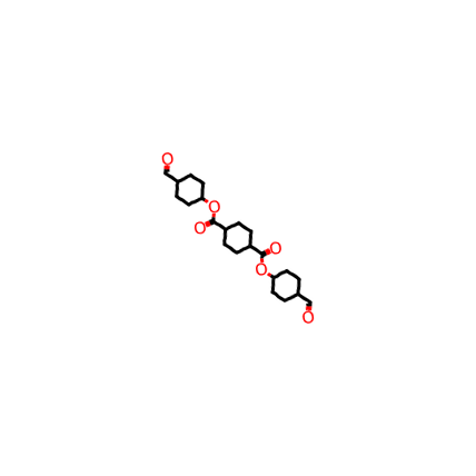 O=CC1CCC(OC(=O)C2CCC(C(=O)OC3CCC(C=O)CC3)CC2)CC1